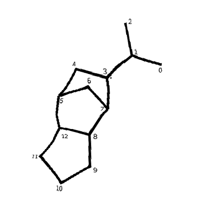 CC(C)[C]1CC2CC1C1CCCC21